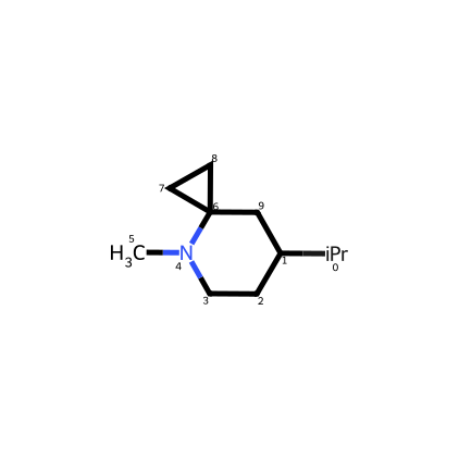 CC(C)C1CCN(C)C2(CC2)C1